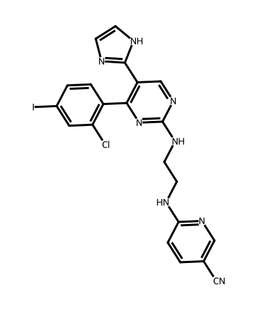 N#Cc1ccc(NCCNc2ncc(-c3ncc[nH]3)c(-c3ccc(I)cc3Cl)n2)nc1